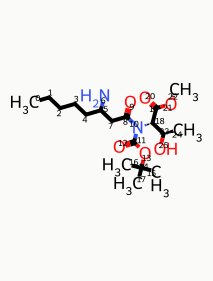 CCCCCC(N)CC(=O)N(C(=O)OC(C)(C)C)[C@H](C(=O)OC)[C@@H](C)O